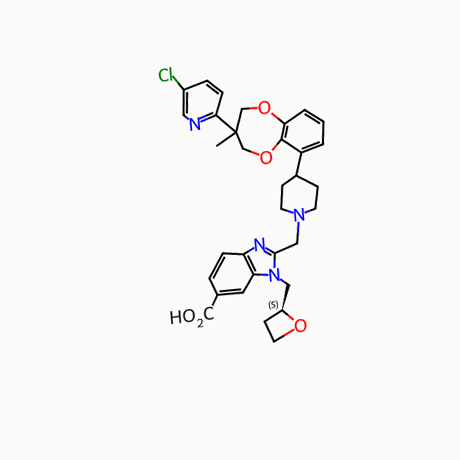 CC1(c2ccc(Cl)cn2)COc2cccc(C3CCN(Cc4nc5ccc(C(=O)O)cc5n4C[C@@H]4CCO4)CC3)c2OC1